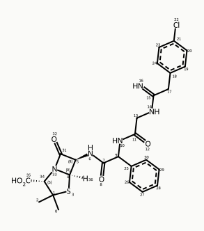 CC1(C)S[C@@H]2[C@H](NC(=O)C(NC(=O)CNC(=N)Cc3ccc(Cl)cc3)c3ccccc3)C(=O)N2[C@H]1C(=O)O